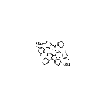 Cc1cc(C)c(B2c3ccccc3-n3c4ccc(C(C)(C)C)cc4c4c5c6c(c2c43)c2cc(C(C)(C)C)ccc2n6-c2ccccc2B5c2c(C)cc(C)cc2C)c(C)c1